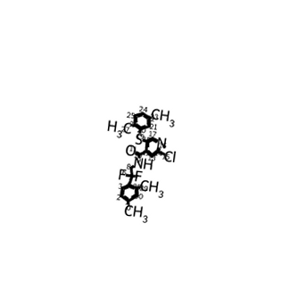 Cc1ccc(C(F)(F)CNC(=O)c2cc(Cl)ncc2Sc2cc(C)ccc2C)c(C)c1